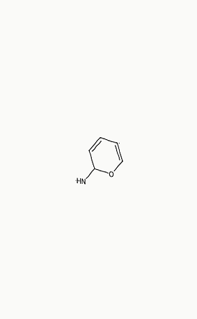 [NH]C1C=C[C]=CO1